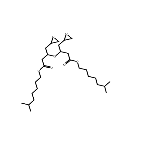 CC(C)CCCCCOC(=O)CC(CC1CO1)SC(CC(=O)OCCCCCC(C)C)CC1CO1